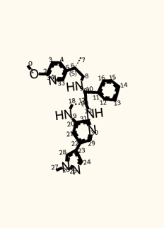 COc1ccc([C@H](C)CN[C@H](c2ccccc2)[C@H]2CNc3cc(-c4cnn(C)c4)cnc3N2)cn1